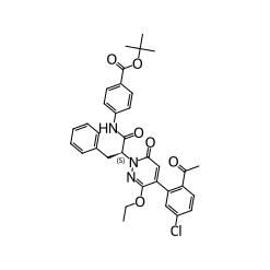 CCOc1nn([C@@H](Cc2ccccc2)C(=O)Nc2ccc(C(=O)OC(C)(C)C)cc2)c(=O)cc1-c1cc(Cl)ccc1C(C)=O